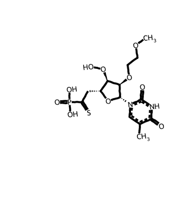 COCCO[C@@H]1[C@H](OO)[C@@H](CC(=S)P(=O)(O)O)O[C@H]1n1cc(C)c(=O)[nH]c1=O